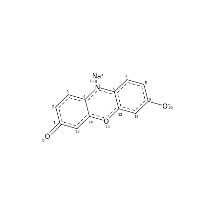 O=c1ccc2nc3ccc([O-])cc3oc-2c1.[Na+]